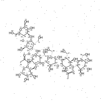 CC(=O)N[C@H]1[C@H](O[C@H]2[C@@H](O)[C@@H](CO)O[C@@H](O[C@H]3[C@H](O)[C@@H](O)[C@H](O)O[C@@H]3CO)[C@@H]2O)O[C@H](CO)[C@@H](O[C@@H]2O[C@H](CO)[C@H](O)[C@H](O[C@@H]3O[C@H](CO)[C@@H](O)[C@H](O[C@@H]4O[C@H](CO)[C@H](O)[C@H](O)[C@H]4O)[C@H]3NC(C)=O)[C@H]2O)[C@@H]1O[C@@H]1O[C@@H](C)[C@@H](O)[C@@H](O)[C@@H]1O